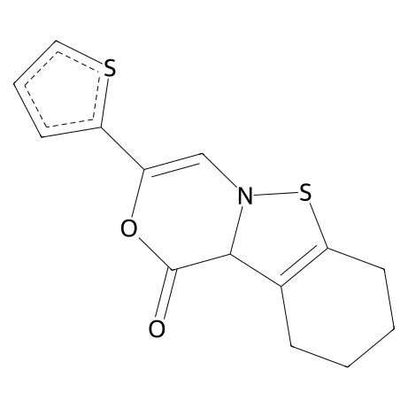 O=C1OC(c2cccs2)=CN2SC3=C(CCCC3)C12